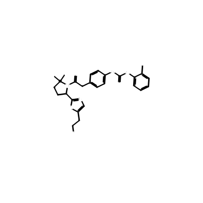 Cc1ccccc1NC(=O)Nc1ccc(CC(=O)N2C(c3ncc(CCC(=O)O)s3)CCC2(C)C)cc1